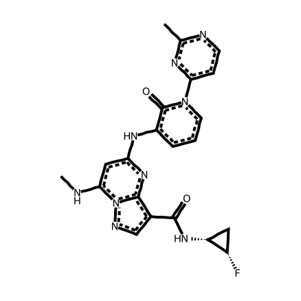 CNc1cc(Nc2cccn(-c3ccnc(C)n3)c2=O)nc2c(C(=O)N[C@@H]3C[C@@H]3F)cnn12